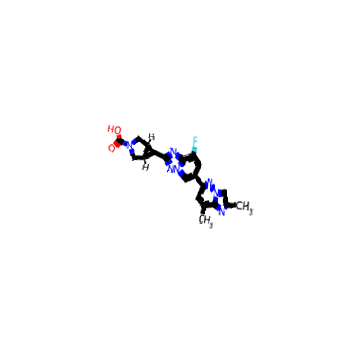 Cc1cn2nc(-c3cc(F)c4nc(C5[C@H]6CN(C(=O)O)C[C@@H]56)nn4c3)cc(C)c2n1